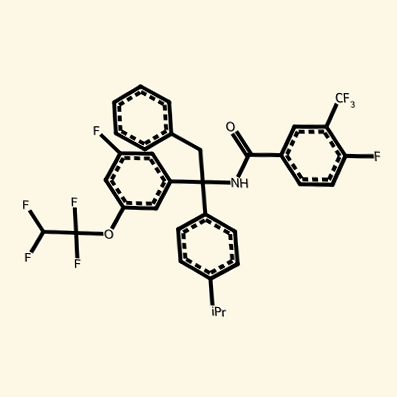 CC(C)c1ccc(C(Cc2ccccc2)(NC(=O)c2ccc(F)c(C(F)(F)F)c2)c2cc(F)cc(OC(F)(F)C(F)F)c2)cc1